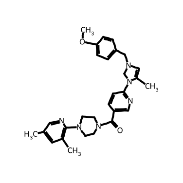 COc1ccc(CN2C=C(C)N(c3ccc(C(=O)N4CCN(c5ncc(C)cc5C)CC4)cn3)C2)cc1